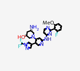 COc1cccc(F)c1-c1nccc(Nc2cc(N3C[C@@H](N)C[C@H](O)C3)c(-c3cnn(C(F)F)c3)cn2)n1